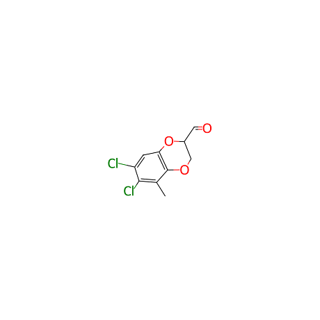 Cc1c(Cl)c(Cl)cc2c1OCC(C=O)O2